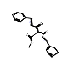 COC(=O)C(C(=O)/C=C/c1ccccc1)C(=O)/C=C/c1ccccc1